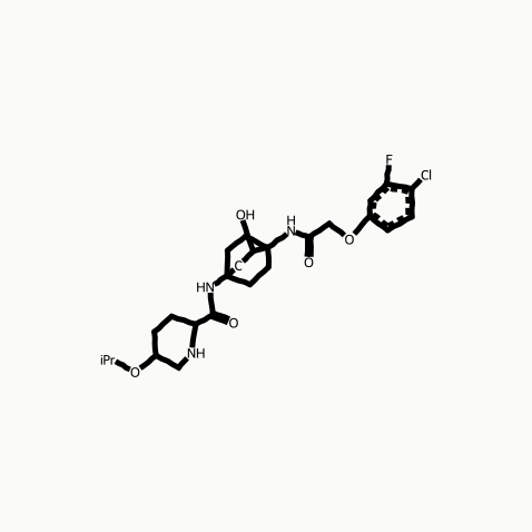 CC(C)OC1CCC(C(=O)NC23CCC(NC(=O)COc4ccc(Cl)c(F)c4)(CC2)C(O)C3)NC1